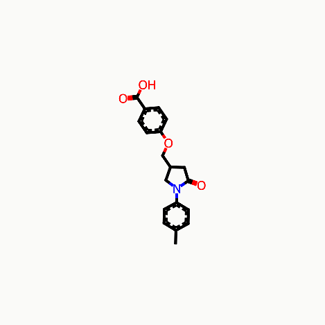 Cc1ccc(N2CC(COc3ccc(C(=O)O)cc3)CC2=O)cc1